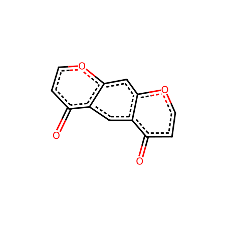 O=c1ccoc2cc3occc(=O)c3cc12